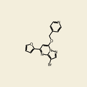 Brc1cnn2c(OCc3ccncc3)cc(-c3ccco3)nc12